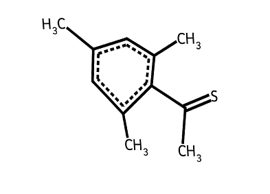 CC(=S)c1c(C)cc(C)cc1C